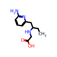 CCC(Cc1cccc(N)n1)NCC(=O)O